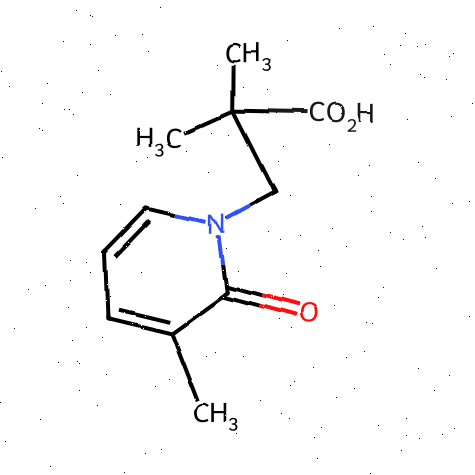 Cc1cccn(CC(C)(C)C(=O)O)c1=O